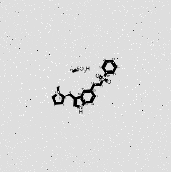 CN1CCC[C@@H]1Cc1c[nH]c2ccc(CCS(=O)(=O)c3ccccc3)cc12.CS(=O)(=O)O